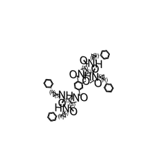 O=[C]COc1cc(C(=O)N2C[C@@H](C(=O)N[C@H]3C[C@@H]3c3ccccc3)[C@H](C(=O)N[C@H]3C[C@@H]3c3ccccc3)C2)ccc1C(=O)N1C[C@@H](C(=O)N[C@H]2C[C@@H]2c2ccccc2)[C@H](C(=O)N[C@H]2C[C@@H]2c2ccccc2)C1